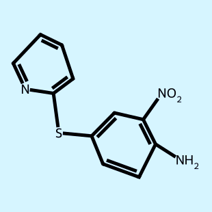 Nc1ccc(Sc2ccccn2)cc1[N+](=O)[O-]